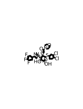 O=C(CO[C@@H]1[C@@H](n2cc(-c3cc(F)c(F)c(F)c3)nn2)[C@@H](O)[C@@H](CO)O[C@@H]1Sc1ccc(Cl)c(Cl)c1)N1CCOCC1